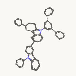 C1=C(c2ccccc2)CCc2c1c1cc(-c3ccc4c(c3)c3ccccc3n4-c3ccccc3)ccc1n2-c1cc(-c2ccccc2)cc(-c2ccccc2)c1